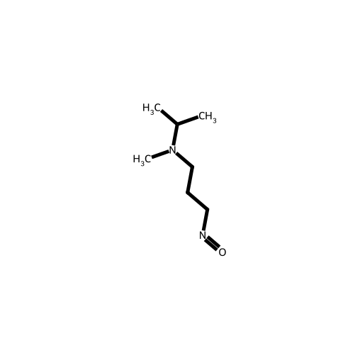 CC(C)N(C)CCCN=O